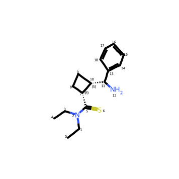 CCN(CC)C(=S)[C@@H]1CC[C@@H]1C(N)c1ccccc1